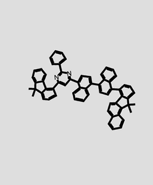 CC1(C)c2ccccc2-c2c(-c3cc(-c4ccc(-c5ccc(-c6cccc7c6-c6ccc8ccccc8c6C7(C)C)c6ccccc56)c5ccccc45)nc(-c4ccccc4)n3)cccc21